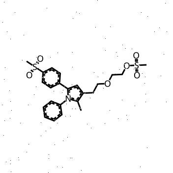 Cc1c(CCOCCOS(C)(=O)=O)cc(-c2ccc(S(C)(=O)=O)cc2)n1-c1ccccc1